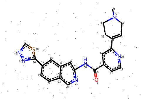 CN1CC=C(c2cc(C(=O)Nc3cc4cc(-c5nncs5)ccc4cn3)ccn2)CC1